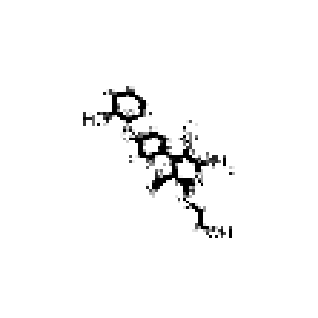 [C-]#[N+]c1c(N)nc(SCCO)c(C#N)c1-c1ccc(O[C@H]2CCCC[C@@H]2O)cc1